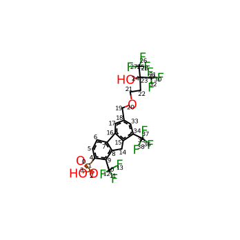 O=S(=O)(O)c1ccc2c(c1C(F)(F)F)Cc1c-2cc(COCCC(O)(C(F)(F)F)C(F)(F)F)cc1C(F)(F)F